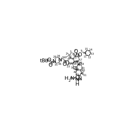 CC1(C)CC[C@]2(C(=O)OCc3ccccc3)CC[C@]3(C)C(=C(c4coc(CN5CCN(C(=O)OC(C)(C)C)CC5)c4)CC4[C@@]5(C)Cc6c(n[nH]c6N)C(C)(C)C5CC[C@]43C)C2C1